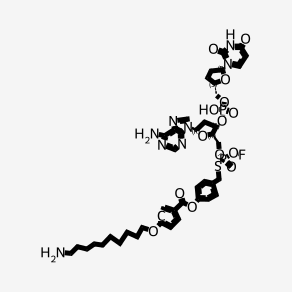 NCCCCCCCCCCOc1ccc(C(=O)Oc2ccc(CSP(=O)(OF)OC[C@H]3O[C@@H](n4cnc5c(N)ncnc54)C[C@@H]3OP(=O)(O)OC[C@@H]3CC[C@H](n4ccc(=O)[nH]c4=O)O3)cc2)cc1